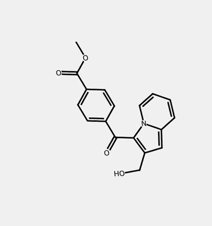 COC(=O)c1ccc(C(=O)c2c(CO)cc3ccccn23)cc1